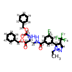 CCn1ncc(C(F)(F)F)c1-c1cc(F)cc(C(=O)NC[C@@H](NC(=O)OCc2ccccc2)C(=O)OCc2ccccc2)c1